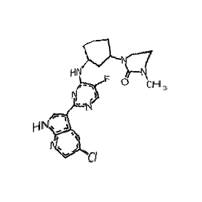 CN1CCN(C2CCC[C@H](Nc3nc(-c4c[nH]c5ncc(Cl)cc45)ncc3F)C2)C1=O